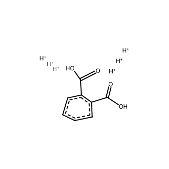 O=C(O)c1ccccc1C(=O)O.[H+].[H+].[H+].[H+].[H+].[H+]